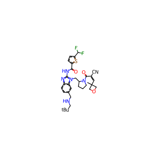 CC(C)(C)CNCc1ccc2nc(NC(=O)c3ccc(C(F)F)s3)n(CC3CCCN3C(=O)C(C#N)=CC3(C)COC3)c2c1